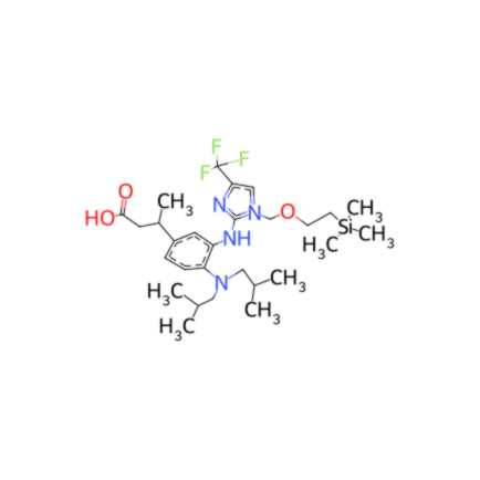 CC(C)CN(CC(C)C)c1ccc(C(C)CC(=O)O)cc1Nc1nc(C(F)(F)F)cn1COCC[Si](C)(C)C